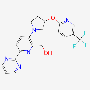 OCc1nc(-c2ncccn2)ccc1N1CCC(Oc2ccc(C(F)(F)F)cn2)C1